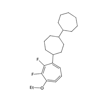 CCOC1=C=CC=C(C2CCCC(C3CCCCCC3)CC2)C(F)=C1F